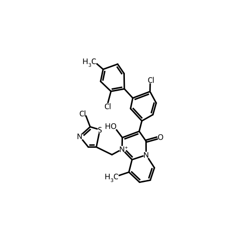 Cc1ccc(-c2cc(-c3c(O)[n+](Cc4cnc(Cl)s4)c4c(C)cccn4c3=O)ccc2Cl)c(Cl)c1